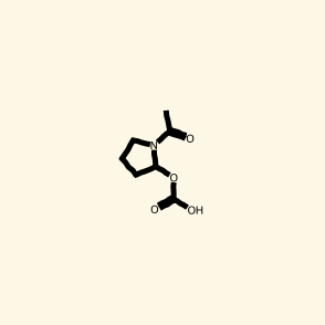 CC(=O)N1CCCC1OC(=O)O